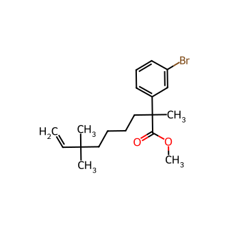 C=CC(C)(C)CCCCC(C)(C(=O)OC)c1cccc(Br)c1